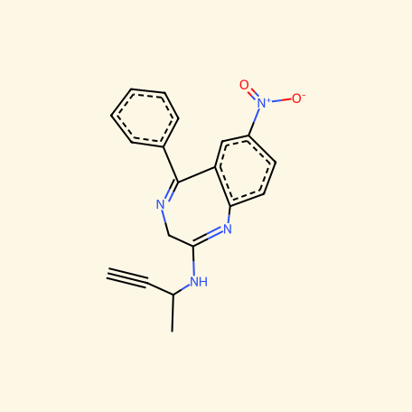 C#CC(C)NC1=Nc2ccc([N+](=O)[O-])cc2C(c2ccccc2)=NC1